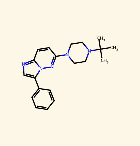 CC(C)(C)N1CCN(c2ccc3ncc(-c4ccccc4)n3n2)CC1